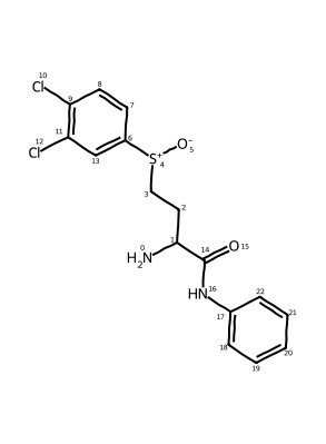 NC(CC[S+]([O-])c1ccc(Cl)c(Cl)c1)C(=O)Nc1ccccc1